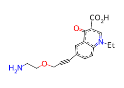 CCn1cc(C(=O)O)c(=O)c2cc(C#CCOCCN)ccc21